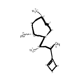 C[C@@H]1CC[C@@H]([C@@H](C)C(O)C2=CCC2)[C@H](O)C1